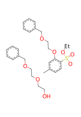 CCOS(=O)(=O)c1ccc(C)cc1OCCOCc1ccccc1.OCCOCCOCc1ccccc1